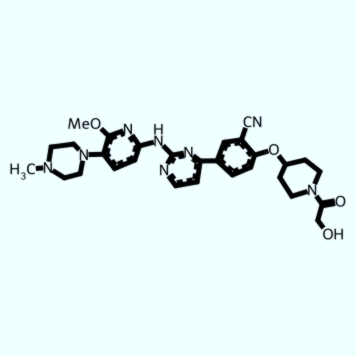 COc1nc(Nc2nccc(-c3ccc(OC4CCN(C(=O)CO)CC4)c(C#N)c3)n2)ccc1N1CCN(C)CC1